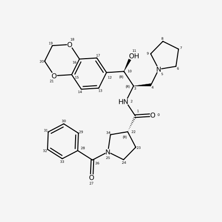 O=C(N[C@H](CN1CCCC1)[C@H](O)c1ccc2c(c1)OCCO2)[C@@H]1CCN(C(=O)c2ccccc2)C1